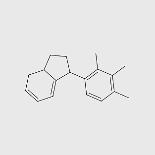 Cc1ccc(C2CCC3CC=CC=C32)c(C)c1C